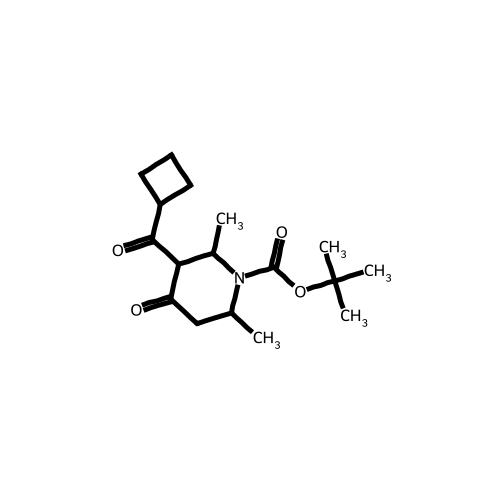 CC1CC(=O)C(C(=O)C2CCC2)C(C)N1C(=O)OC(C)(C)C